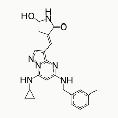 Cc1cccc(CNc2cc(NC3CC3)n3ncc(/C=C4\CC(O)NC4=O)c3n2)c1